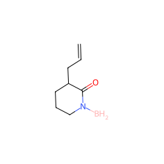 BN1CCCC(CC=C)C1=O